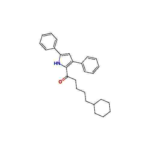 O=C(CCCCC1CCCCC1)c1[nH]c(-c2ccccc2)cc1-c1ccccc1